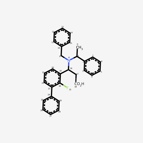 CC(c1ccccc1)N(Cc1ccccc1)C(CC(=O)O)c1cccc(-c2ccccc2)c1F